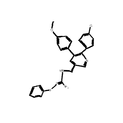 COc1ccc(-c2cc(CN/C(N)=N/Sc3ccccc3)cnc2-c2ccc(Cl)cc2)cc1